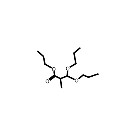 CCCOC(=O)C(C)C(OCCC)OCCC